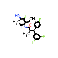 C/C=C(NC(=O)[C@@H](C)[C@@H](c1ccc(F)cc1)c1cc(F)cc(F)c1)\C(CC)=C(\F)C=N